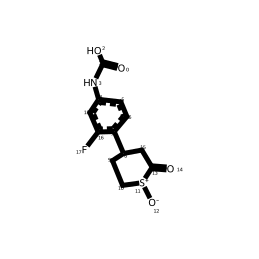 O=C(O)Nc1ccc(C2CC[S+]([O-])C(=O)C2)c(F)c1